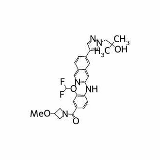 COC1CN(C(=O)c2ccc(Nc3cc4cc(-c5cnn(CC(C)(C)O)c5)ccc4cn3)c(OC(F)F)c2)C1